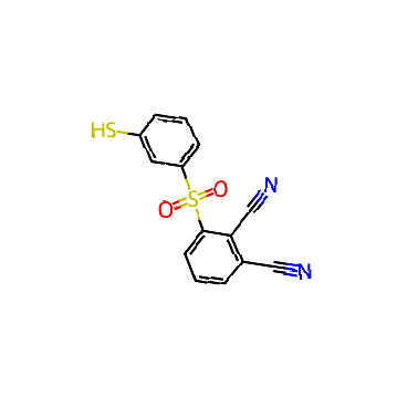 N#Cc1cccc(S(=O)(=O)c2cccc(S)c2)c1C#N